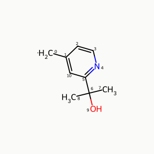 [CH2]c1ccnc(C(C)(C)O)c1